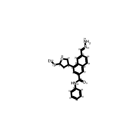 CCSC1CC(c2cc(C(=O)Nc3ccccc3)cc3ccc(C=NN)cc23)CO1